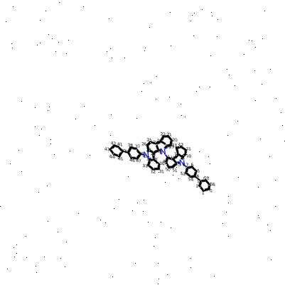 c1ccc(-c2ccc(-n3c4ccccc4c4c(-n5c6ccccc6c6ccc7c(c8ccccc8n7-c7ccc(-c8ccccc8)cc7)c65)cccc43)cc2)cc1